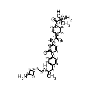 CC(Cc1ccc(-n2ccc(NC(=O)N3CCN(C(=O)C(C)(C)N)CC3)nc2=O)cc1)NCC[C@H]1C[C@H](N)C1